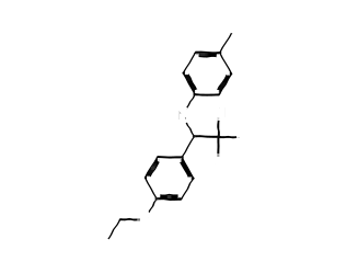 CCOc1ccc(C(Nc2ccc(C)cc2)C(Cl)(Cl)Cl)cc1